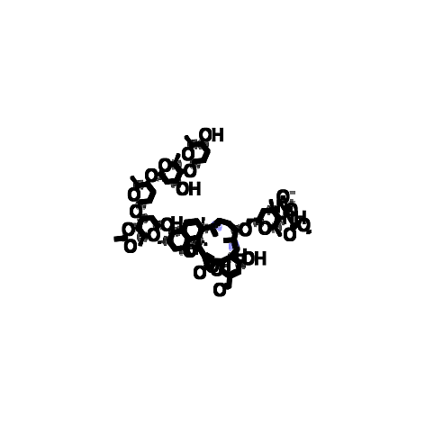 COC(=O)N[C@H]1[C@@H](C)O[C@@H](CO[C@H]2C/C=C(\C)[C@]3(C)C=C[C@@H]4[C@@H](O[C@H]5C[C@@H](O[C@H]6CCC(O[C@H]7C[C@@H](O)C(O[C@H]8CC[C@@H](O)[C@H](C)O8)[C@H](C)O7)[C@H](C)O6)[C@@H](OC(C)=O)[C@H](C)O5)[C@@H](C)C[C@H](C)[C@H]4[C@]3(C)C(=O)C3=C(O)C4(CC(C=O)=C[C@H](O)[C@H]4/C=C/2C)OC3=O)C[C@]1(C)[N+](=O)[O-]